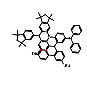 CC(C)(C)c1ccc(C2c3cc(N(c4ccccc4)c4ccccc4)ccc3B3c4cc5c(cc4C(c4ccc6c(c4)C(C)(C)CC6(C)C)c4cc(C(C)(C)C)cc2c43)C(C)(C)CC5(C)C)c(-c2ccccc2)c1